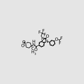 CC1(NC(=O)c2ccc3c(c2)n(CC(F)(F)F)c(=O)n3-c2cccc(OC(F)F)c2)CCS(=O)(=O)CC1